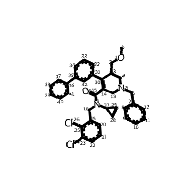 COCC1CN(Cc2ccccc2)CC(C(=O)N(Cc2cccc(Cl)c2Cl)C2CC2)=C1c1cccc(-c2ccccc2)c1